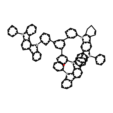 C1=Cc2c(n(-c3cccc(-c4cc(-c5cccc(-n6c7ccccc7c7ccc8c(c9ccccc9n8-c8ccccc8)c76)c5)cc(-c5cccc(-n6c7ccccc7c7ccc8c9ccccc9n(-c9ccccc9)c8c76)c5)c4)c3)c3cc4c5ccccc5n(-c5ccccc5)c4cc23)CC1